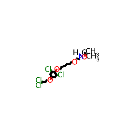 CC(C)(C)ON=CCOCCCCCCOc1c(Cl)cc(OCC=C(Cl)Cl)cc1Cl